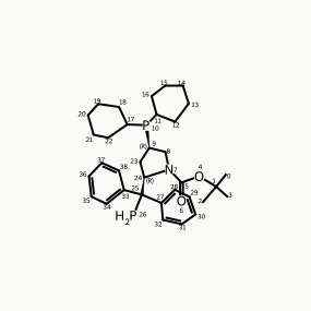 CC(C)(C)OC(=O)N1C[C@H](P(C2CCCCC2)C2CCCCC2)C[C@@H]1C(P)(c1ccccc1)c1ccccc1